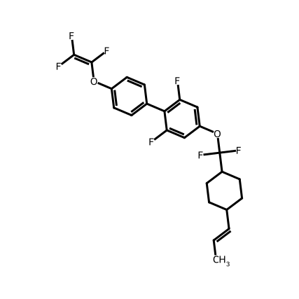 C/C=C/C1CCC(C(F)(F)Oc2cc(F)c(-c3ccc(OC(F)=C(F)F)cc3)c(F)c2)CC1